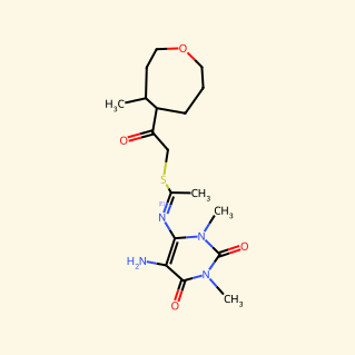 C/C(=N\c1c(N)c(=O)n(C)c(=O)n1C)SCC(=O)C1CCCOCCC1C